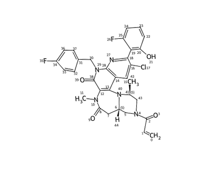 C=CC(=O)N1C[C@@H]2CC(=O)N(C)c3c(c4cc(Cl)c(-c5c(O)cccc5F)nc4n(Cc4ccc(F)cc4)c3=O)N2[C@@H](C)C1